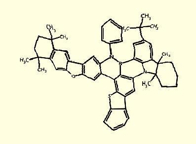 CC(C)(C)c1cc2c3c(c1)C1(C)CCCCC1(C)N3c1cc3c(sc4ccccc43)c3c1B2N(c1ccccc1)c1cc2c(cc1-3)oc1cc3c(cc12)C(C)(C)CCC3(C)C